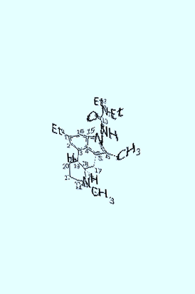 CCc1cc2c3c(c(C)n(NC(=O)N(CC)CC)c3c1)C[C@@H]1[C@@H]2CCCN1C